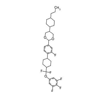 CCCC1CCC(C2COC(c3ccc(C4CCC(C(F)(F)Oc5cc(F)c(F)c(F)c5)CC4)c(F)c3)OC2)CC1